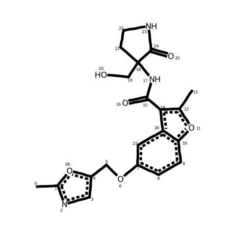 Cc1ncc(COc2ccc3oc(C)c(C(=O)NC4(CO)CCNC4=O)c3c2)o1